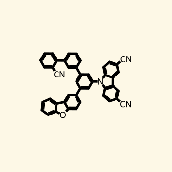 N#Cc1ccc2c(c1)c1cc(C#N)ccc1n2-c1cc(-c2cccc(-c3ccccc3C#N)c2)cc(-c2ccc3oc4ccccc4c3c2)c1